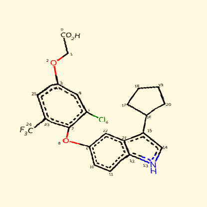 O=C(O)COc1cc(Cl)c(Oc2ccc3[nH]cc(C4CCCC4)c3c2)c(C(F)(F)F)c1